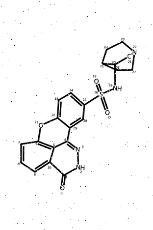 O=c1[nH]nc2c3c(cccc13)Oc1ccc(S(=O)(=O)NC3CN4CCC3CC4)cc1-2